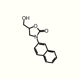 O=C1OC(CO)CN1c1ccc2ccccc2c1